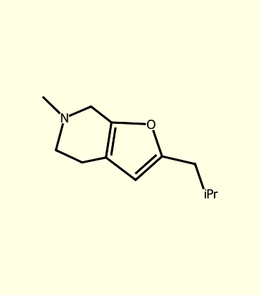 CC(C)Cc1cc2c(o1)CN(C)CC2